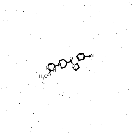 COc1nccc(N2CCC(C(=O)N3N=CC[C@H]3c3cccc(C#N)c3)CC2)n1